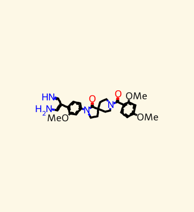 COc1ccc(C(=O)N2CCC3(CC2)CCN(c2ccc(/C(C=N)=C/N)c(OC)c2)C3=O)c(OC)c1